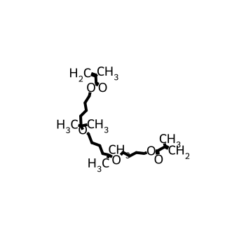 C=C(C)C(=O)OCCCCOC(C)(C)CCCCOC(C)(C)CCCCOC(=O)C(=C)C